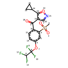 CS(=O)(=O)c1cc(OC(F)(F)C(F)F)ccc1C(=O)c1cnoc1C1CC1